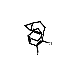 Clc1ccc([C@]23CCN4CC[C@]2(C4)C3)cc1Cl